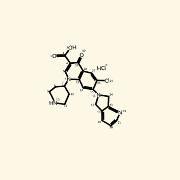 Cl.O=C(O)c1cn(C2CCNCC2)c2cc(N3Cc4cccnc4C3)c(Cl)cc2c1=O